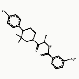 C[C@@H](NC(=O)c1cccc(C(=O)O)c1)C(=O)N1CCC(c2ccc(Cl)cc2)C(C)(C)C1